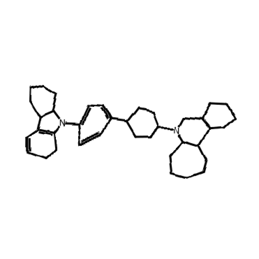 C1=CC2=C(CC1)N(c1ccc(C3CCC(N4CC5CCCCC5C5CCCCCC54)CC3)cc1)C1CCCCC21